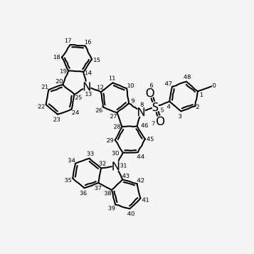 Cc1ccc(S(=O)(=O)n2c3ccc(-n4c5ccccc5c5ccccc54)cc3c3cc(-n4c5ccccc5c5ccccc54)ccc32)cc1